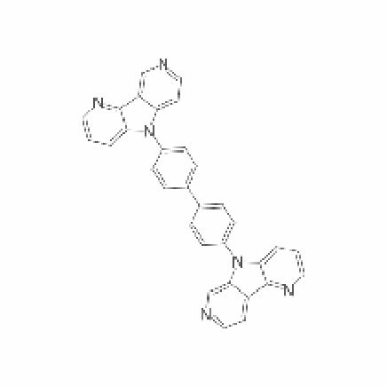 c1cnc2c3cnccc3n(-c3ccc(-c4ccc(-n5c6cnccc6c6ncccc65)cc4)cc3)c2c1